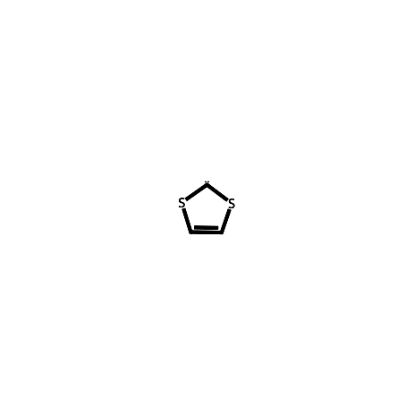 [C]1SC=CS1